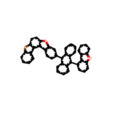 c1ccc2c(c1)oc1cccc(-c3c4ccccc4c(-c4ccc5c(c4)oc4ccc6sc7ccccc7c6c45)c4ccccc34)c12